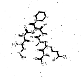 CN(N[C@@H](CCCC(O)C(F)(F)F)C(=O)N(C)C(N)=O)C(=O)N(C)C(=O)[C@H](NC(=O)N(C)C(=O)[C@@H](N)COC(C)(C)C)C(=O)N1CCCCC1